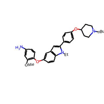 CCCCN1CCC(Oc2ccc(-c3cc4cc(Oc5ccc(N)cc5OC)ccc4n3CC)cc2)CC1